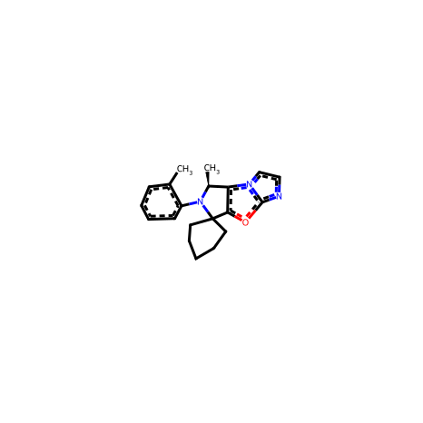 Cc1ccccc1N1[C@@H](C)c2c(oc3nccn23)C12CCCCC2